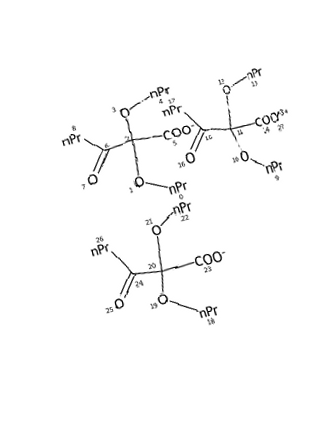 CCCOC(OCCC)(C(=O)[O-])C(=O)CCC.CCCOC(OCCC)(C(=O)[O-])C(=O)CCC.CCCOC(OCCC)(C(=O)[O-])C(=O)CCC.[Y+3]